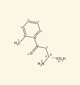 Cc1ccccc1C(=O)C[C@@H](N)C(=O)O